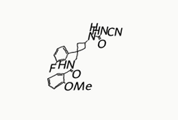 COc1ccccc1C(=O)NCC1(c2cccc(F)c2)CC(NC(=O)NC#N)C1